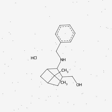 CC1(C)C2CC(CO)C(NCc3ccccc3)C1C2.Cl